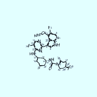 COc1c(F)cnc2[nH]cc(-c3ncc(F)c(NC4CCC[C@@H](NC(=O)N5CC[C@@H](F)C5)C4)n3)c12